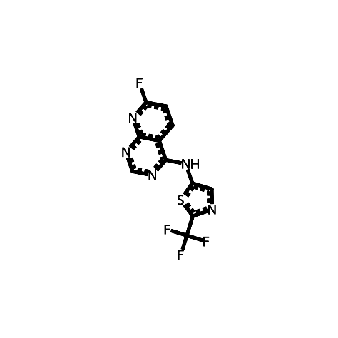 Fc1ccc2c(Nc3cnc(C(F)(F)F)s3)ncnc2n1